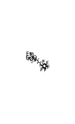 CCOC(OCC)O[SiH2]CCCCc1c(F)c(F)c(F)c(F)c1F